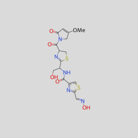 COC1=CC(=O)N(C(=O)C2CSC(C(CO)NC(=O)c3csc(/C=N/O)n3)=N2)C1